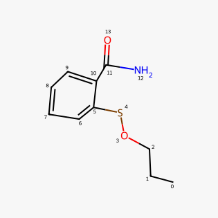 CCCOSc1ccccc1C(N)=O